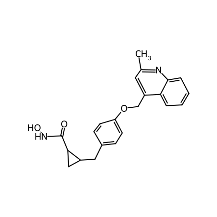 Cc1cc(COc2ccc(CC3CC3C(=O)NO)cc2)c2ccccc2n1